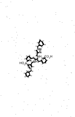 O=C(O)c1cccc(CC(NCc2cn(Cc3ccccc3)nn2)C(Cc2cccc(C(=O)O)n2)NCc2cn(Cc3ccccc3)nn2)n1